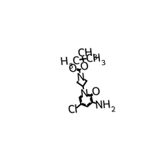 CC(C)(C)OC(=O)N1CC(n2cc(Cl)cc(N)c2=O)C1